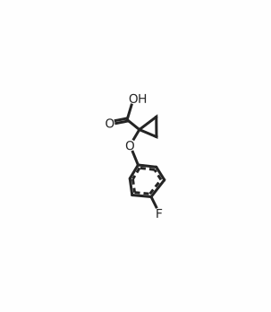 O=C(O)C1(Oc2ccc(F)cc2)CC1